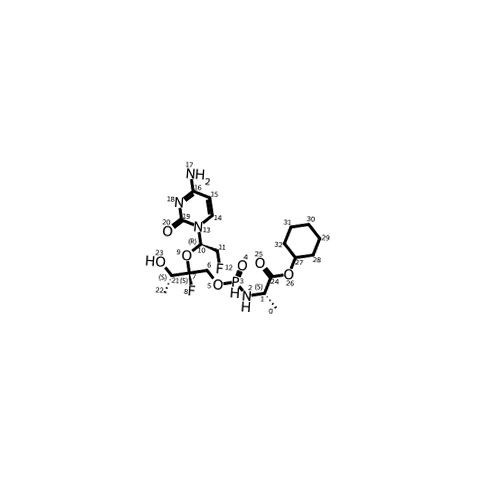 C[C@H](N[PH](=O)OC[C@@](F)(O[C@H](CF)n1ccc(N)nc1=O)[C@H](C)O)C(=O)OC1CCCCC1